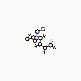 CC(C)(C)c1cc(-c2cc(-c3cc(C(C)(C)C)cc(N(c4cccc(C5CCCCC5)c4)c4ccc5c(c4)C(C)(C)c4ccccc4-5)c3-c3ccccc3)cc(C(C)(C)C)c2)cc(-c2cc(C(C)(C)C)cc(C(C)(C)C)c2)c1